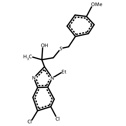 CCn1c(C(C)(O)CSCc2ccc(OC)cc2)nc2cc(Cl)c(Cl)cc21